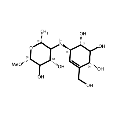 CO[C@@H]1O[C@H](C)C(N[C@@H]2C=C(CO)[C@@H](O)C(O)[C@H]2O)[C@H](O)C1O